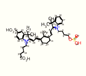 CC(C)C1=C(/C=C/C2=[N+](CCCCOS(=O)O)c3ccccc3C2(C)C)CCC/C1=C\C=C1\N(CCCCS(=O)(=O)O)c2ccc(S(=O)(=O)O)cc2C1(C)C